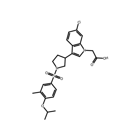 Cc1cc(S(=O)(=O)N2CCC(c3cn(CC(=O)O)c4cc(Cl)ccc34)C2)ccc1OC(C)C